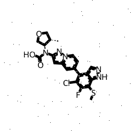 CSc1c(F)c(Cl)c(-c2ccn3nc(N(C(=O)O)[C@@H]4COC[C@@H]4C)cc3c2)c2cn[nH]c12